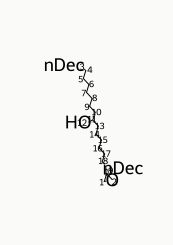 C1CO1.CCCCCCCCCCCCCCCCCC(O)CCCCCCCCCCCCCCCC